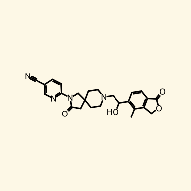 Cc1c(C(O)CN2CCC3(CC2)CC(=O)N(c2ccc(C#N)cn2)C3)ccc2c1COC2=O